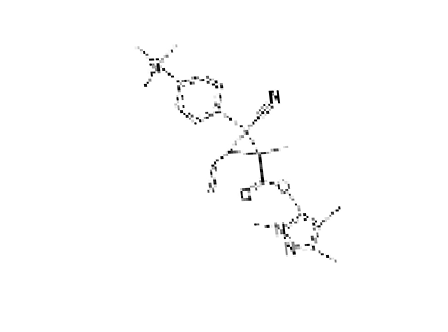 C=CC1C(C)(C(=O)Oc2c(C)c(C)nn2C)C1(C#N)c1ccc([Si](C)(C)C)cc1